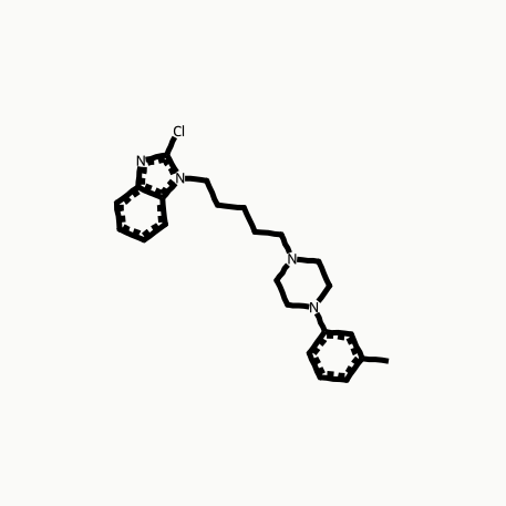 Cc1cccc(N2CCN(CCCCCn3c(Cl)nc4ccccc43)CC2)c1